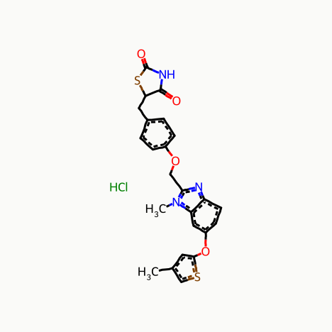 Cc1csc(Oc2ccc3nc(COc4ccc(CC5SC(=O)NC5=O)cc4)n(C)c3c2)c1.Cl